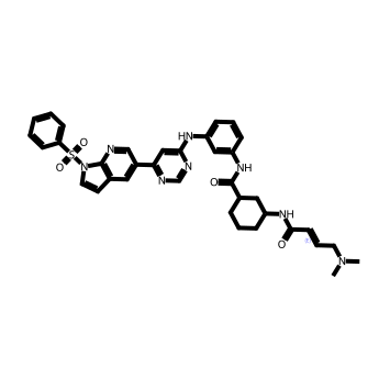 CN(C)C/C=C/C(=O)NC1CCCC(C(=O)Nc2cccc(Nc3cc(-c4cnc5c(ccn5S(=O)(=O)c5ccccc5)c4)ncn3)c2)C1